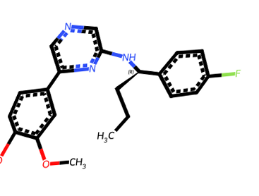 CCC[C@@H](Nc1cncc(-c2ccc(O)c(OC)c2)n1)c1ccc(F)cc1